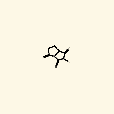 O=C1C(O)C(=O)N2C(=O)CCC12